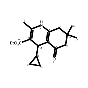 CCOC(=O)C1=C(C)NC2=C(C(=O)CC(C)(C)C2)C1C1CC1